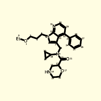 CCOCCCn1cc(CN(C(=O)C2CNCCO2)C2CC2)c2c(-c3ccccc3)ccnc21